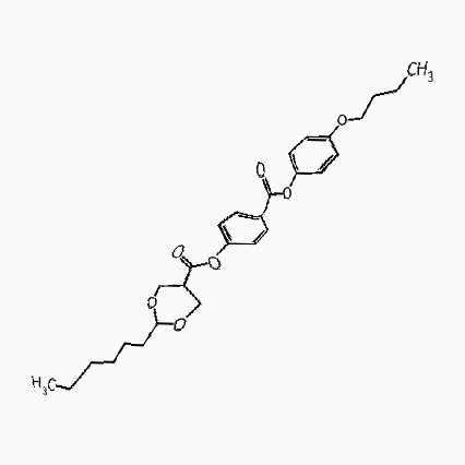 CCCCCCC1OCC(C(=O)Oc2ccc(C(=O)Oc3ccc(OCCCC)cc3)cc2)CO1